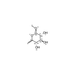 C=C1O[C@@H](OC)[C@H](O)[C@@H](O)[C@@H]1O